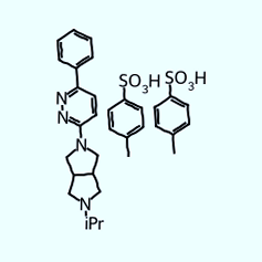 CC(C)N1CC2CN(c3ccc(-c4ccccc4)nn3)CC2C1.Cc1ccc(S(=O)(=O)O)cc1.Cc1ccc(S(=O)(=O)O)cc1